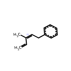 C=C/C(C)=C\Cc1ccccc1